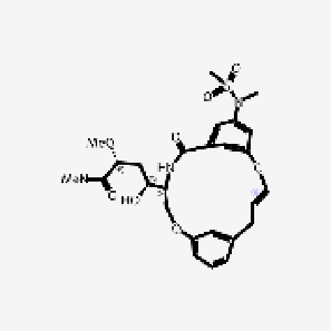 CNC(=O)[C@@H](C[C@H](O)[C@@H]1COc2cccc(c2)C/C=C/Cc2cc(cc(N(C)S(C)(=O)=O)c2)C(=O)N1)OC